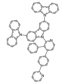 c1ccc(-c2c(-c3ccc(-c4ccccn4)cc3)ccnc2-n2c3ccc(-n4c5ccccc5c5ccccc54)cc3c3cc(-n4c5ccccc5c5ccccc54)ccc32)cc1